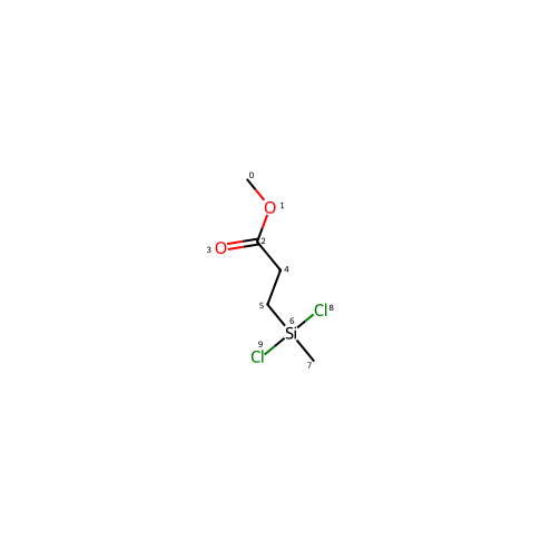 COC(=O)CC[Si](C)(Cl)Cl